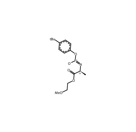 COCCOC(=O)[C@H](C)N=[P+]([O-])Oc1ccc(C(C)(C)C)cc1